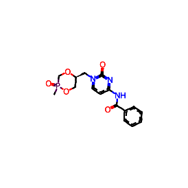 CP1(=O)CO[C@@H](Cn2ccc(NC(=O)c3ccccc3)nc2=O)CO1